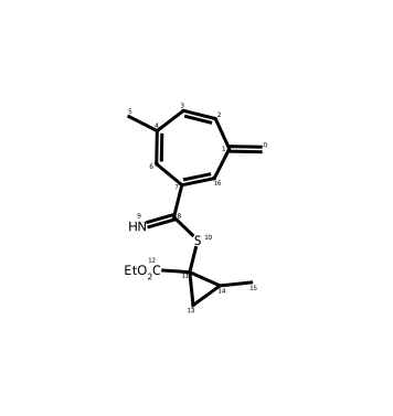 C=C1C=CC(C)=CC(C(=N)SC2(C(=O)OCC)CC2C)=C1